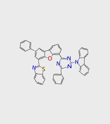 c1ccc(-c2cc(-c3nc4ccccc4s3)c3oc4c(-c5nc(-c6ccccc6)nc(-n6c7ccccc7c7ccccc76)n5)cccc4c3c2)cc1